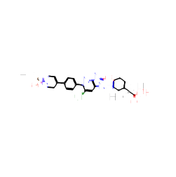 C[S+]([O-])N1CC=C(c2ccc(-c3nc4nc(OC5CCC(C(C)(C)C(=O)O)CC5)[nH]c4cc3Cl)cc2)CC1